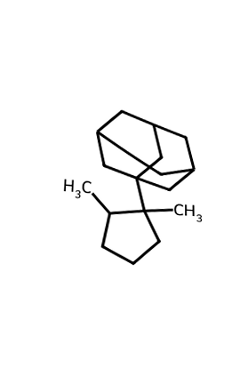 CC1CCCC1(C)C12CC3CC(CC(C3)C1)C2